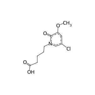 COc1cc(Cl)cn(CCCCC(=O)O)c1=O